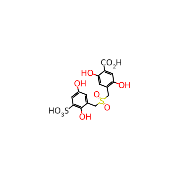 O=C(O)c1cc(O)c(CS(=O)(=O)Cc2cc(O)cc(S(=O)(=O)O)c2O)cc1O